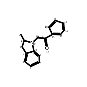 CC1Cc2ccccc2N1CC(=O)c1ccccc1